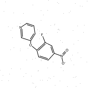 O=[N+]([O-])c1ccc(Oc2cccnc2)c(F)c1